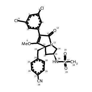 COC1=C(c2cc(Cl)cc(Cl)c2)C(=O)N2C[C@@H](NS(C)(=O)=O)C[C@]12Cc1ccc(C#N)cc1